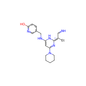 CC/C(C=N)=C1\N=C(N2CCCCC2)C=C(NCc2ccc(O)nc2)N1